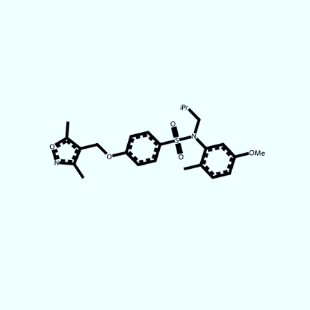 COc1ccc(C)c(N(CC(C)C)S(=O)(=O)c2ccc(OCc3c(C)noc3C)cc2)c1